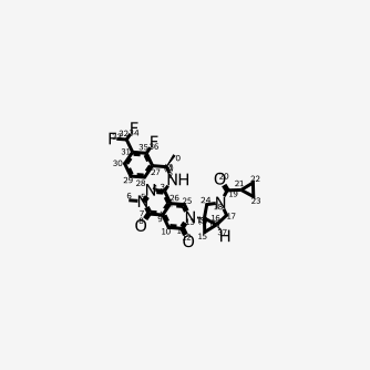 C[C@@H](Nc1nn(C)c(=O)c2cc(=O)n([C@@]34C[C@@H]3CN(C(=O)C3CC3)C4)cc12)c1cccc(C(F)F)c1F